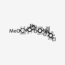 COC1CCN(c2ccc3c(Oc4ccc(NC(=O)Nc5ccc(Cl)cc5)cc4)ncnc3c2)CC1